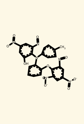 Cc1ccc(N(c2ccccc2Oc2c(N=O)cc([N+](=O)[O-])cc2[N+](=O)[O-])c2c(O)cc([N+](=O)[O-])cc2N=O)cc1